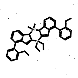 CCc1ccccc1-c1cccc2c1C=C1[CH]2[Hf]([CH3])([CH3])[CH]2C(=Cc3c(-c4ccccc4CC)cccc32)[Si]1(CC)CC